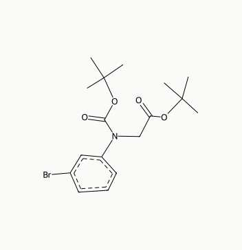 CC(C)(C)OC(=O)CN(C(=O)OC(C)(C)C)c1cccc(Br)c1